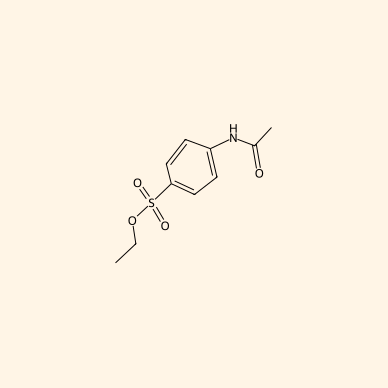 CCOS(=O)(=O)c1ccc(NC(C)=O)cc1